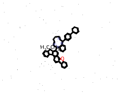 CC1(C)c2ccccc2-c2c1c(C1=c3\cccc\c3=C(c3ccc(C4=CC=CCC4)cc3)\C=C\CC\C=C\1)cc1c2ccc2c3ccccc3oc12